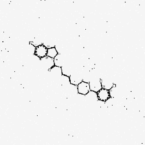 O=C(CCCCN1CCN(c2cccc(Cl)c2Cl)CC1)N1CCc2cc(F)ccc21